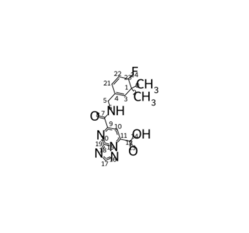 CC1(C)C=C(CNC(=O)c2cc(C(=O)O)n3ncnc3n2)C=CC1F